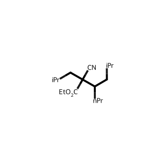 CCCC(CC(C)C)C(C#N)(CC(C)C)C(=O)OCC